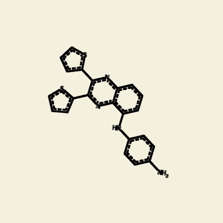 Nc1ccc(Nc2cccc3nc(-c4cccs4)c(-c4cccs4)nc23)cc1